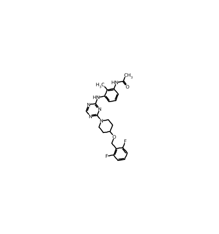 CC(=O)Nc1cccc(Nc2ncnc(N3CCC(OCc4c(F)cccc4F)CC3)n2)c1C